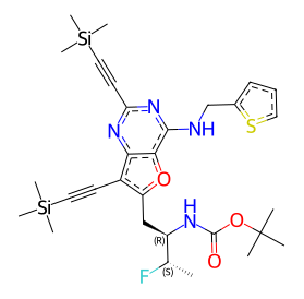 C[C@H](F)[C@@H](Cc1oc2c(NCc3cccs3)nc(C#C[Si](C)(C)C)nc2c1C#C[Si](C)(C)C)NC(=O)OC(C)(C)C